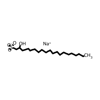 CCCCCCCCCCCCCCCCCCC(O)CS(=O)(=O)[O-].[Na+]